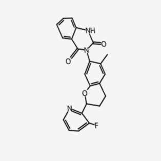 Cc1cc2c(cc1-n1c(=O)[nH]c3ccccc3c1=O)OC(c1ncccc1F)CC2